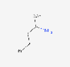 CC(=O)OC(N)CCC(C)C